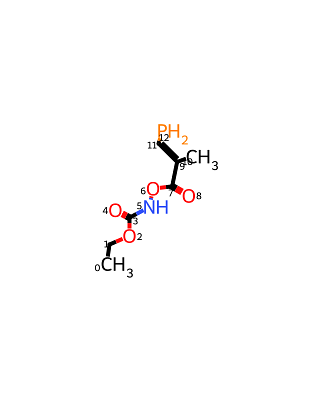 CCOC(=O)NOC(=O)C(C)=CP